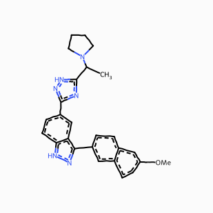 COc1ccc2cc(-c3n[nH]c4ccc(-c5n[nH]c(C(C)N6CCCC6)n5)cc34)ccc2c1